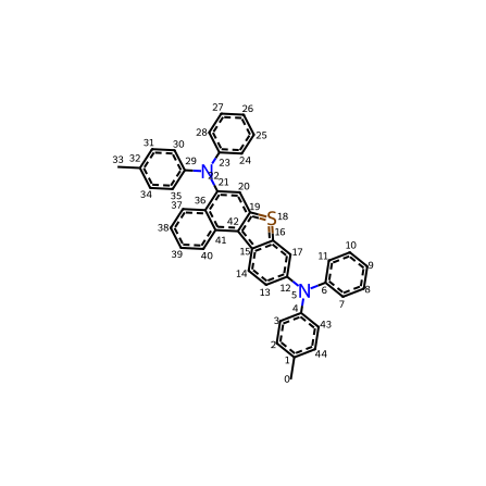 Cc1ccc(N(c2ccccc2)c2ccc3c(c2)sc2cc(N(c4ccccc4)c4ccc(C)cc4)c4ccccc4c23)cc1